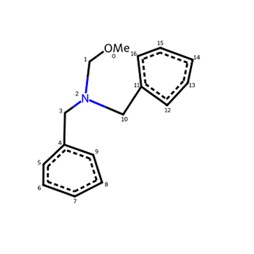 COCN(Cc1ccccc1)Cc1ccccc1